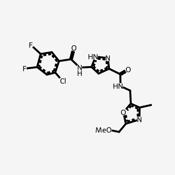 COCc1nc(C)c(CNC(=O)c2cc(NC(=O)c3cc(F)c(F)cc3Cl)[nH]n2)o1